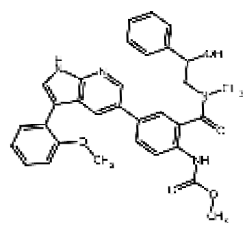 COC(=O)Nc1ccc(-c2cnc3[nH]cc(-c4ccccc4OC)c3c2)cc1C(=O)N(C)CC(O)c1ccccc1